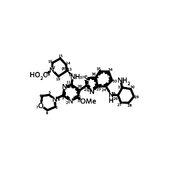 COc1nc(N2CCOCC2)nc(N[C@@H]2CCCN(C(=O)O)C2)c1-c1nc2c(NC3CCCCC3N)cccc2s1